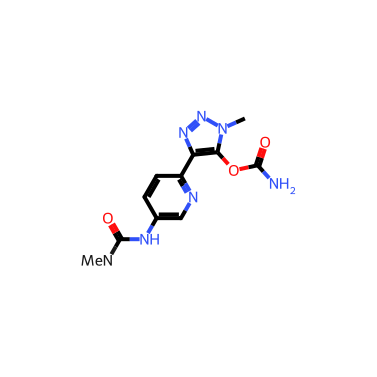 CNC(=O)Nc1ccc(-c2nnn(C)c2OC(N)=O)nc1